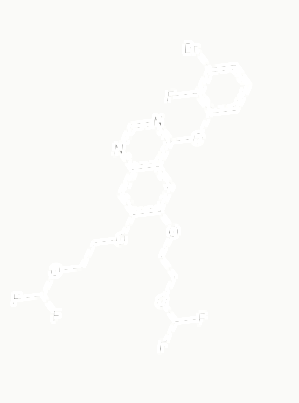 Fc1c(Br)cccc1Oc1ncnc2cc(OCCOC(F)F)c(OCCOC(F)F)cc12